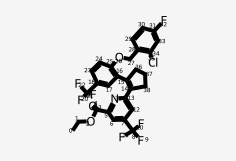 CCOC(=O)c1cc(C(F)(F)F)cc(C2=C(c3cc(C(F)(F)F)ccc3OCc3ccc(F)cc3Cl)CCC2)n1